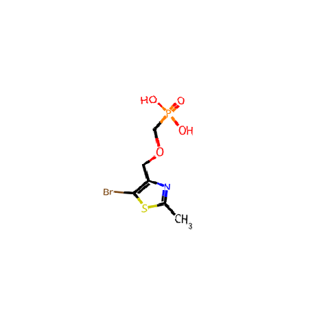 Cc1nc(COCP(=O)(O)O)c(Br)s1